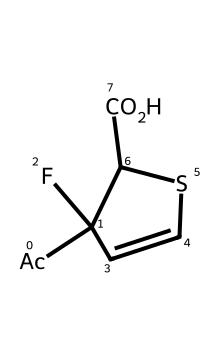 CC(=O)C1(F)C=CSC1C(=O)O